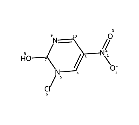 O=[N+]([O-])C1=CN(Cl)C(O)N=C1